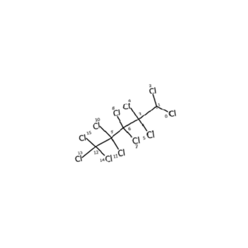 Cl[C](Cl)C(Cl)(Cl)C(Cl)(Cl)C(Cl)(Cl)C(Cl)(Cl)Cl